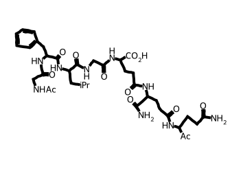 CC(=O)NCC(=O)NC(Cc1ccccc1)C(=O)NC(CC(C)C)C(=O)NCC(=O)NC(CCC(=O)NC(CCC(=O)NC(CCC(N)=O)C(C)=O)C(N)=O)C(=O)O